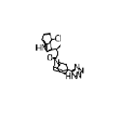 CC(CC(=O)N1C2CC3CC1CC(c1nnn[nH]1)(C3)C2)c1c[nH]c2cccc(Cl)c12